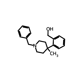 CC1(c2ccccc2CO)CCN(Cc2ccccc2)CC1